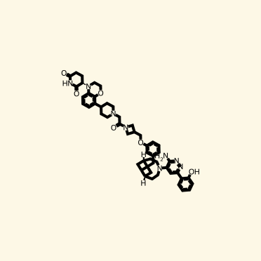 Nc1nnc(-c2ccccc2O)cc1N1CC[C@H]2CC3(Cc4cccc(OCC5CN(C(=O)CN6CCC(c7cccc8c7OCCN8[C@H]7CCC(=O)NC7=O)CC6)C5)c4)C2C[C@@H]3CC1